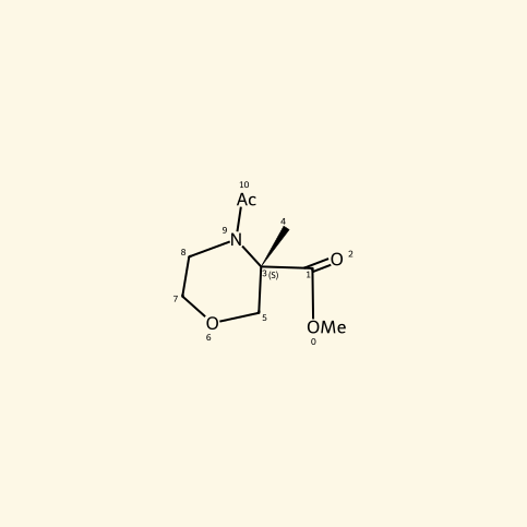 COC(=O)[C@]1(C)COCCN1C(C)=O